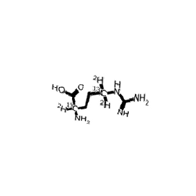 [2H][13C]([2H])(CC[13C]([2H])(N)C(=O)O)NC(=N)N